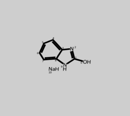 Oc1nc2ccccc2[nH]1.[NaH]